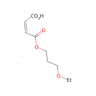 CCOCCCOC(=O)/C=C\C(=O)O